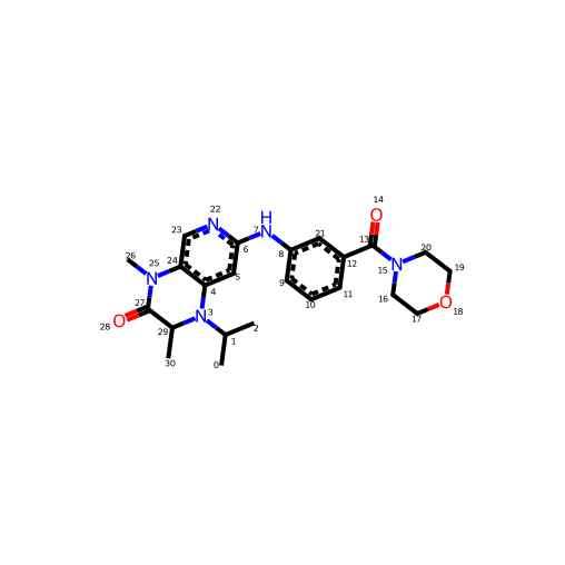 CC(C)N1c2cc(Nc3cccc(C(=O)N4CCOCC4)c3)ncc2N(C)C(=O)C1C